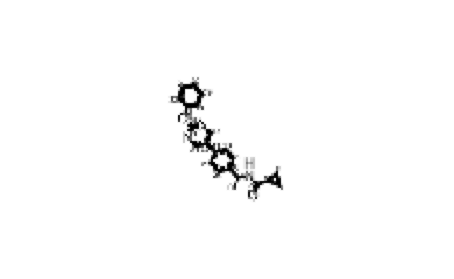 C[C@H](NC(=O)C1CC1)c1ccc(-c2cnc(Oc3ccccc3)nc2)cc1